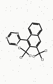 ClC(Cl)(Cl)c1cc2ccccc2c(-c2ncncn2)c1C(Cl)(Cl)Cl